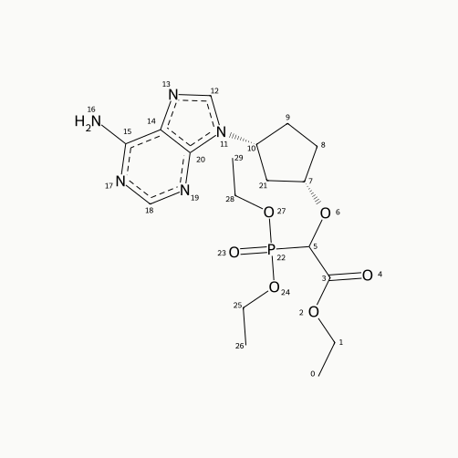 CCOC(=O)C(O[C@H]1CC[C@@H](n2cnc3c(N)ncnc32)C1)P(=O)(OCC)OCC